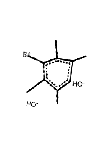 [B+2]c1c(C)c(C)cc(C)c1C.[OH-].[OH-]